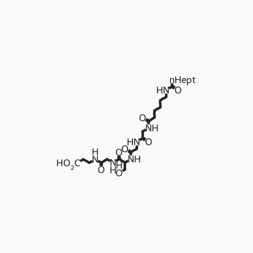 CCCCCCCC(=O)NCCCCCC(=O)NCC(=O)NCC(=O)NC(CO)C(=O)NCC(=O)NCCC(=O)O